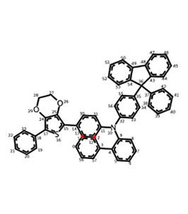 c1ccc(-c2ccccc2N(c2ccc(-c3sc(-c4ccccc4)c4c3OCCO4)cc2)c2ccc(C3(c4ccccc4)c4ccccc4-c4ccccc43)cc2)cc1